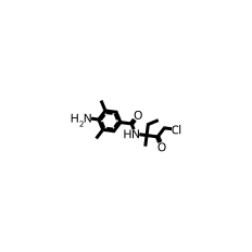 CCC(C)(NC(=O)c1cc(C)c(N)c(C)c1)C(=O)CCl